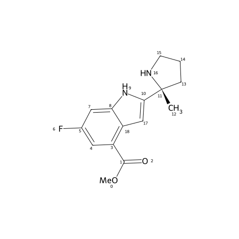 COC(=O)c1cc(F)cc2[nH]c([C@@]3(C)CCCN3)cc12